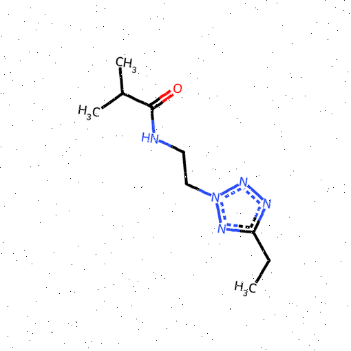 CCc1nnn(CCNC(=O)C(C)C)n1